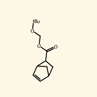 CC(C)(C)OCOC(=O)C1CC2C=CC1C2